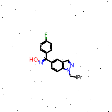 CC(C)Cn1ncc2cc(C(=NO)c3ccc(F)cc3)ccc21